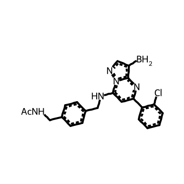 Bc1cnn2c(NCc3ccc(CNC(C)=O)cc3)cc(-c3ccccc3Cl)nc12